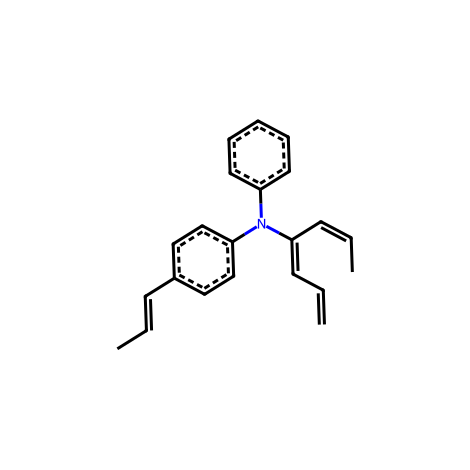 C=C/C=C(\C=C/C)N(c1ccccc1)c1ccc(/C=C/C)cc1